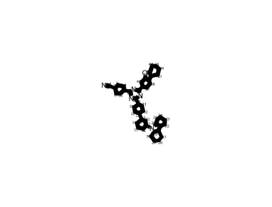 N#Cc1ccc(-c2nc(-c3ccc(-c4cccc(-n5c6c(c7ccccc75)CCC=C6)c4)cc3)nc(-c3ccc4c(c3)oc3ccccc34)n2)cc1